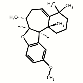 COc1ccc2c(c1)[C@H]1[C@@H](O2)[C@H](C)CC=C2C(C)(C)CCC[C@@]21C